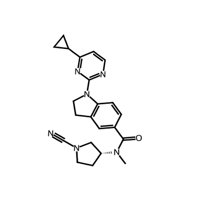 CN(C(=O)c1ccc2c(c1)CCN2c1nccc(C2CC2)n1)[C@@H]1CCN(C#N)C1